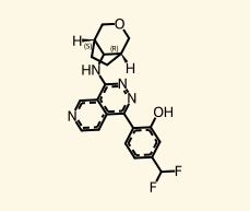 Oc1cc(C(F)F)ccc1-c1nnc(NC2[C@@H]3CC[C@H]2COC3)c2cnccc12